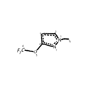 Cn1ccc(OC(F)(F)F)n1